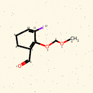 COCOC1=C(C=O)CCC=C1I